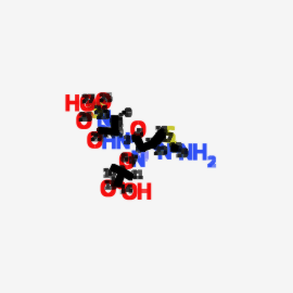 C[C@@H]1[C@H](NC(=O)/C(=N\OC(C)(C)C(=O)O)c2csc(N)n2)C(=O)N1S(=O)(=O)O